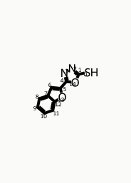 Sc1nnc(-c2cc3ccccc3o2)o1